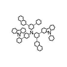 c1ccc(-c2cc(-c3ccc4ccccc4c3)cc(N(c3ccc(-c4ccccc4-n4c5ccccc5c5ccccc54)cc3)c3cc(-c4ccc5ccccc5c4)cc(-c4ccc5c6ccccc6n(-c6ccccc6)c5c4)c3)c2)cc1